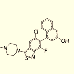 O=CN1CCN(c2snc3c(F)c(-c4cc(O)cc5ccccc45)c(Cl)cc23)CC1